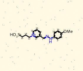 COc1ccc(NN=Cc2ccc[n+](CCCS(=O)(=O)O)c2)cc1